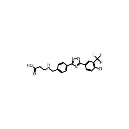 O=C(O)CCNCc1ccc(-c2noc(-c3ccc(Cl)c(C(F)(F)F)c3)n2)cc1